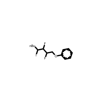 CCCCC(I)C(F)C(F)COc1ccccc1